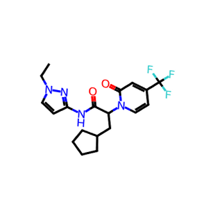 CCn1ccc(NC(=O)C(CC2CCCC2)n2ccc(C(F)(F)F)cc2=O)n1